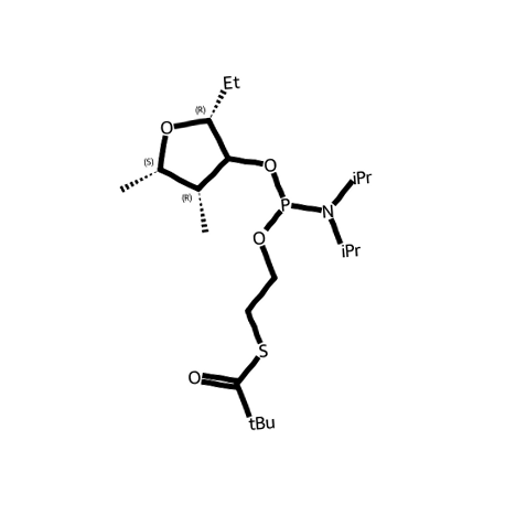 CC[C@H]1O[C@@H](C)[C@@H](C)C1OP(OCCSC(=O)C(C)(C)C)N(C(C)C)C(C)C